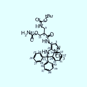 Cn1ncc(NC(=O)C(CNC(=O)OC(C)(C)C)COC(N)=O)c1NC(c1ccccc1)(c1ccccc1)c1ccccc1